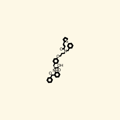 O=C(c1ccccc1)c1ccccc1N[C@@H](Cc1ccc(OCCCN(Cc2ccccc2)C(=O)C=Cc2cccs2)cc1)C(=O)O